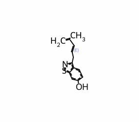 C=C(C)/C=C/Cc1nsc2cc(O)ccc12